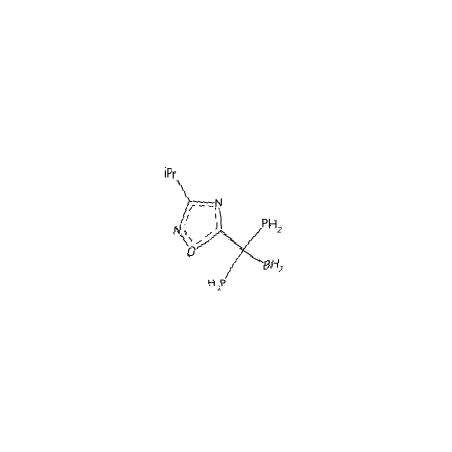 BC(P)(P)c1nc(C(C)C)no1